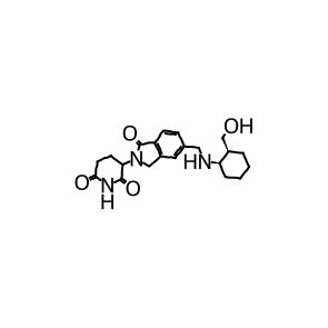 O=C1CCC(N2Cc3cc(CN[C@@H]4CCCC[C@@H]4CO)ccc3C2=O)C(=O)N1